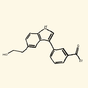 CCC(=O)c1cccc(-c2c[nH]c3ccc(CCO)cc23)c1